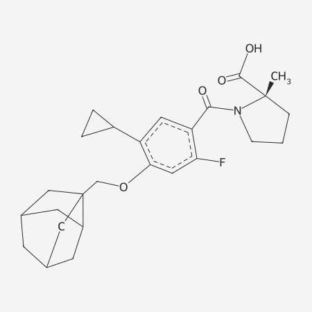 C[C@@]1(C(=O)O)CCCN1C(=O)c1cc(C2CC2)c(OCC23CC4CC(CC2C4)C3)cc1F